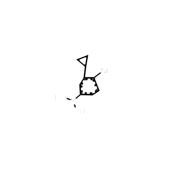 Nc1ccc(B(O)O)cc1C1CC1